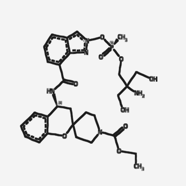 CCOC(=O)N1CCC2(CC1)C[C@H](NC(=O)c1cccc3cn(O[P@@](C)(=O)OCC(N)(CO)CO)nc13)c1ccccc1O2